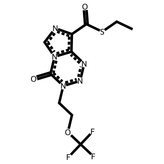 CCSC(=O)c1ncn2c(=O)n(CCOC(F)(F)F)nnc12